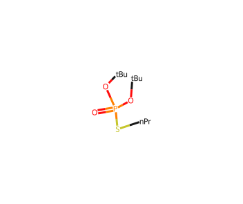 CCCSP(=O)(OC(C)(C)C)OC(C)(C)C